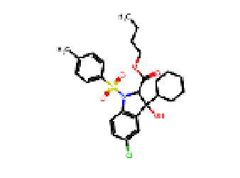 CCCCOC(=O)C1N(S(=O)(=O)c2ccc(C)cc2)c2ccc(Cl)cc2C1(O)C1CCCCC1